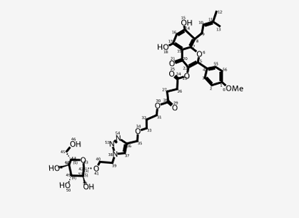 COc1ccc(-c2oc3c(CC=C(C)C)c(O)cc(O)c3c(=O)c2OC(=O)CCC(=O)OCCCOCc2cn(CCO[C@H]3O[C@@H](CO)[C@H](O)[C@@H](O)[C@@H]3O)nn2)cc1